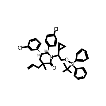 C=CCC1(C)C[C@H](c2cccc(Cl)c2)[C@@H](c2ccc(Cl)cc2)N(C(CO[Si](c2ccccc2)(c2ccccc2)C(C)(C)C)C2CC2)C1=O